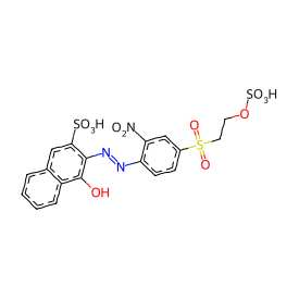 O=[N+]([O-])c1cc(S(=O)(=O)CCOS(=O)(=O)O)ccc1/N=N/c1c(S(=O)(=O)O)cc2ccccc2c1O